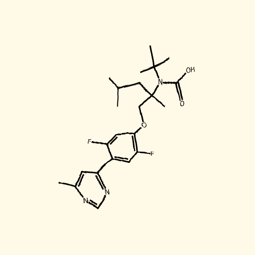 Cc1cc(-c2cc(F)c(OCC(C)(CC(C)C)N(C(=O)O)C(C)(C)C)cc2F)ncn1